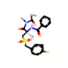 CCN(C(=O)NC)C(=O)[C@](C#N)(CS(=O)(=O)Cc1ccc(Cl)cc1)NC(=O)c1ccccc1